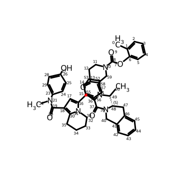 Cc1ccccc1OC(=O)N1CCc2cc(-c3cc(C(=O)N(C)c4ccc(O)cc4)c4n3CCCC4)c(C(=O)N3Cc4ccccc4C[C@H]3C(C)N3CCOCC3)cc2C1